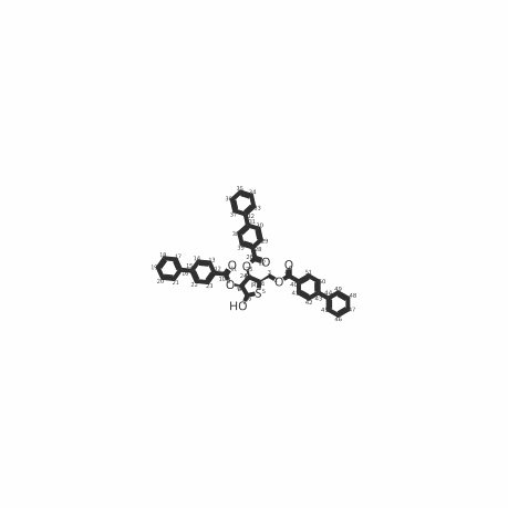 O=C(OC[C@H]1SC(O)[C@@H](OC(=O)c2ccc(-c3ccccc3)cc2)[C@H]1OC(=O)c1ccc(-c2ccccc2)cc1)c1ccc(-c2ccccc2)cc1